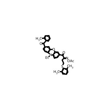 CCN1c2ccc(C(=O)/C(CCSc3c(C)cccc3C)=N/OC(C)=O)cc2Oc2cc(C(=O)c3ccccc3C)ccc21